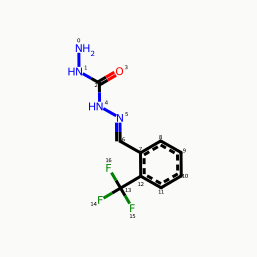 NNC(=O)NN=Cc1ccccc1C(F)(F)F